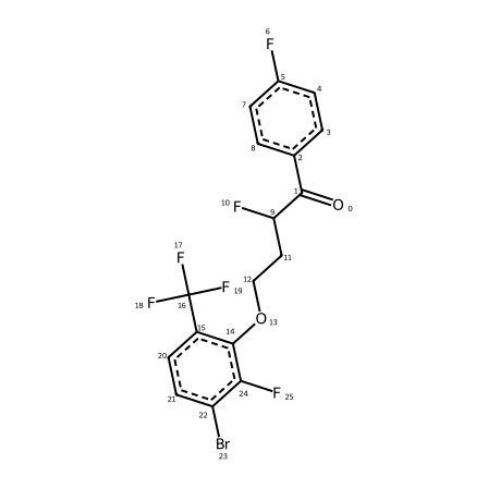 O=C(c1ccc(F)cc1)C(F)CCOc1c(C(F)(F)F)ccc(Br)c1F